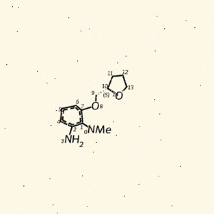 CNc1c(N)cccc1OC[C@@H]1CCCO1